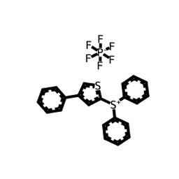 F[P-](F)(F)(F)(F)F.c1ccc(-c2csc([S+](c3ccccc3)c3ccccc3)c2)cc1